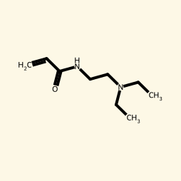 C=CC(=O)NCCN(CC)CC